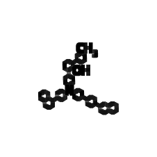 Cc1cccc(-c2cccc(-c3ccc(N(c4ccc(-c5ccc(-c6ccc7ccccc7c6)cc5)cc4)c4ccc(-c5cccc6ccccc56)cc4)cc3)c2O)c1